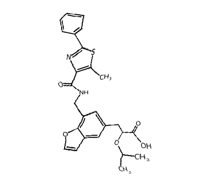 Cc1sc(-c2ccccc2)nc1C(=O)NCc1cc(CC(OC(C)C)C(=O)O)cc2ccoc12